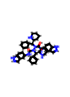 O=C(Nc1ccc2[nH]ncc2c1)N(C(c1ccccc1)[C@@H]1CCCCN1)N(C(=O)Nc1ccc2[nH]ncc2c1)C(c1ccccc1)[C@H]1CCCCN1